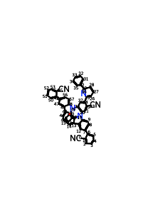 N#Cc1ccccc1-c1ccc2c(c1)c1ccccc1n2-c1cc(C#N)c(-c2cccc(-c3ccccc3)n2)cc1-n1c2ccccc2c2cc(-c3ccccc3C#N)ccc21